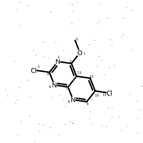 COc1nc(Cl)nc2ncc(Cl)cc12